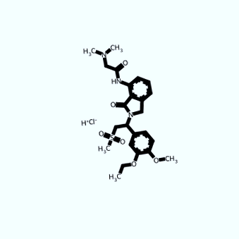 CCOc1cc(C(CS(C)(=O)=O)N2Cc3cccc(NC(=O)CN(C)C)c3C2=O)ccc1OC.[Cl-].[H+]